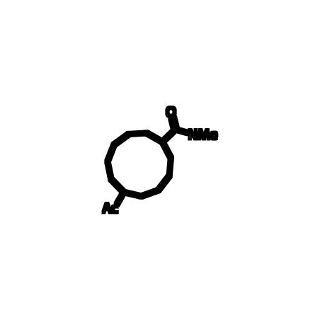 CNC(=O)C1CCCCCC(C(C)=O)CCCC1